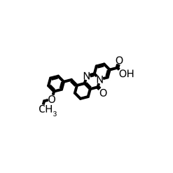 CCOc1cccc(C=C2CCCc3c2nc2ccc(C(=O)O)cn2c3=O)c1